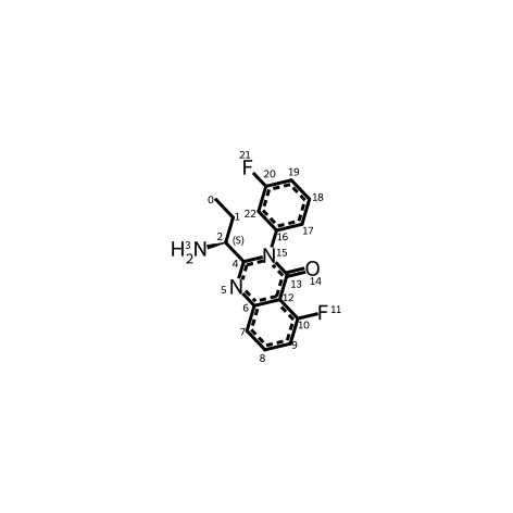 CC[C@H](N)c1nc2cccc(F)c2c(=O)n1-c1cccc(F)c1